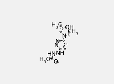 CCN(CC(C)O)c1ccc(NNC(C)=O)nn1